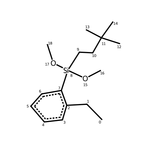 CCc1ccccc1[Si](CCC(C)(C)C)(OC)OC